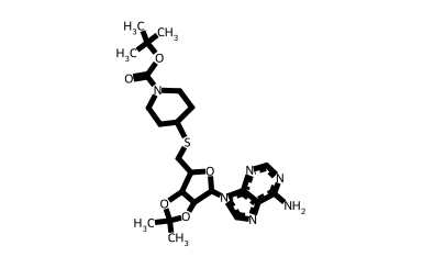 CC(C)(C)OC(=O)N1CCC(SCC2OC(n3cnc4c(N)ncnc43)C3OC(C)(C)OC23)CC1